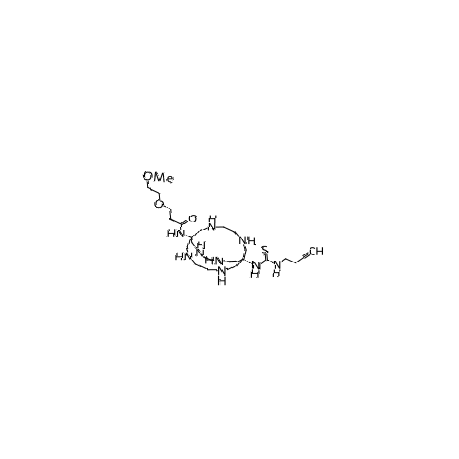 C#CCCNC(=S)NC12CNCCNCC(NC(=O)CCOCCOC)(CNCCNC1)CNCCNC2